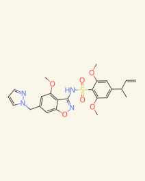 C=CC(C)c1cc(OC)c(S(=O)(=O)Nc2noc3cc(Cn4cccn4)cc(OC)c23)c(OC)c1